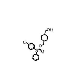 O=C(OCC1CCC(CO)CC1)N(c1ccccc1)c1ccc(Cl)cc1